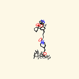 CC(C)(C)[Si](C)(C)OCCC1CCN(C(=O)CCCc2cccc(C3(C(=O)O[C@H]4CN5CCC4CC5)CCCCC3)c2)CC1